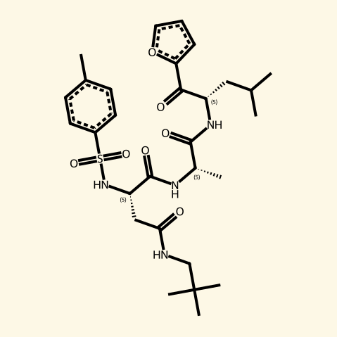 Cc1ccc(S(=O)(=O)N[C@@H](CC(=O)NCC(C)(C)C)C(=O)N[C@@H](C)C(=O)N[C@@H](CC(C)C)C(=O)c2ccco2)cc1